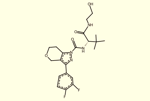 CC(C)(C)[C@H](NC(=O)n1nc(-c2ccc(F)c(F)c2)c2c1CCOC2)C(=O)NCCO